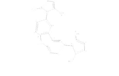 Cc1ccc(C)n1-c1ccc2sc3ccc(-n4c(C)ccc4C)cc3c2c1